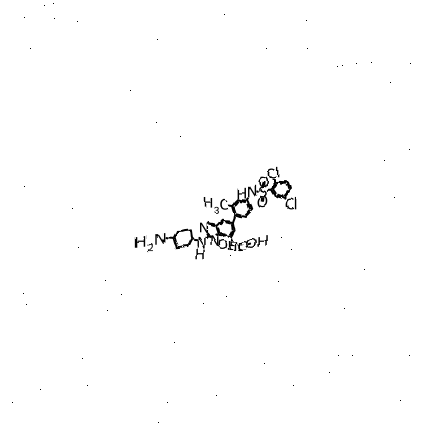 CCc1cc(-c2ccc(NS(=O)(=O)c3cc(Cl)ccc3Cl)cc2C)cc2cnc(NC3CCC(N)CC3)nc12.O=CO